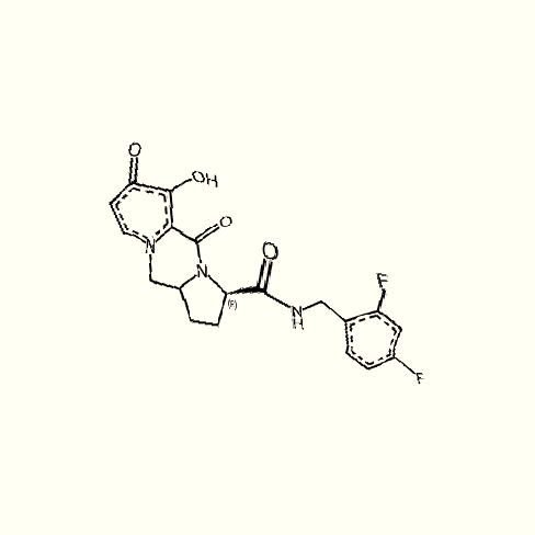 O=C(NCc1ccc(F)cc1F)[C@H]1CCC2Cn3ccc(=O)c(O)c3C(=O)N21